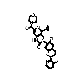 O=C(c1cc2c(c(C3CC3)n1)CN(c1cc3c(cc1Cl)CCC(c1ncccc1F)O3)C(=O)N2)N1CCOCC1